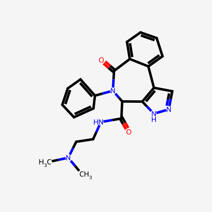 CN(C)CCNC(=O)C1c2[nH]ncc2-c2ccccc2C(=O)N1c1ccccc1